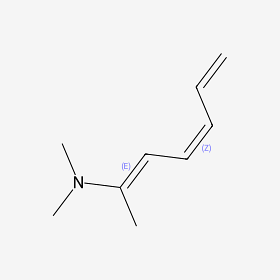 C=C/C=C\C=C(/C)N(C)C